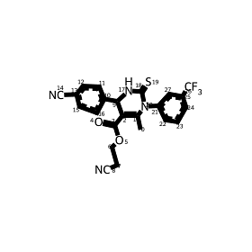 CC1=C(C(=O)OCCC#N)C(c2ccc(C#N)cc2)NC(=S)N1c1cccc(C(F)(F)F)c1